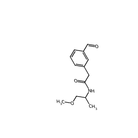 COCC(C)NC(=O)Cc1cccc(C=O)c1